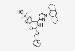 CC(C)(O)c1ncc([C@H](NC(=O)OCc2ccccc2)c2ccn(-c3c4c(cc5c3CCC5)CCC4)n2)s1